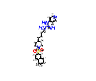 N=C(NCCCCC1CCN(S(=O)(=O)c2ccc3ccccc3c2)CC1)Nc1ccncc1